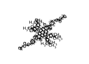 CC(C)(C)c1ccc(Oc2cc3c4c(cc(Oc5ccc(C(C)(C)C)cc5)c5c6c(Oc7ccc(C(C)(C)C)cc7)cc7c8c(cc(Oc9ccc(C(C)(C)C)cc9)c(c2c45)c86)C(=O)N(CC(=O)N2CCN(COCC(=O)OCC4CO4)CC2)C7=O)C(=O)N(CC(=O)N2CCN(COCC(=O)OCC4CO4)CC2)C3=O)cc1